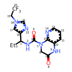 CCC(NC(=O)N1CC(=O)Nc2cccnc21)c1cn(CC(F)(F)F)cn1